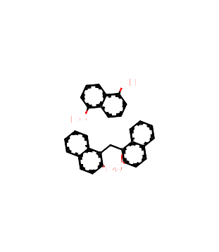 Oc1ccc2ccccc2c1Cc1c(O)ccc2ccccc12.Oc1cccc2c(O)cccc12